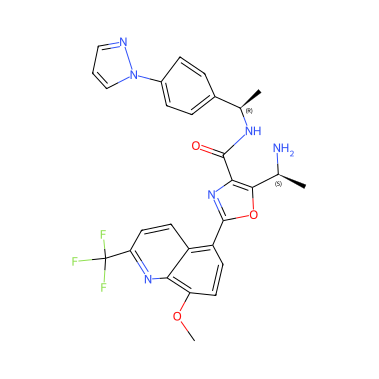 COc1ccc(-c2nc(C(=O)N[C@H](C)c3ccc(-n4cccn4)cc3)c([C@H](C)N)o2)c2ccc(C(F)(F)F)nc12